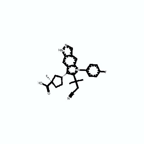 CC(C)(CC#N)c1c([C@@H]2CC[C@@](F)(C(=O)O)C2)c2cc3[nH]ncc3cc2n1-c1ccc(F)cc1